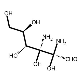 N[C@](O)(C=O)[C@@](N)(O)[C@H](O)[C@H](O)CO